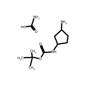 CC(C)(C)OC(=O)NC1CCC(N)C1.NC(=O)O